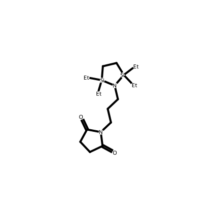 CC[Si]1(CC)CC[Si](CC)(CC)N1CCCN1C(=O)CCC1=O